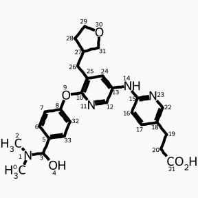 CN(C)C(O)c1ccc(Oc2ncc(Nc3ccc(CCC(=O)O)cn3)cc2CC2CCOC2)cc1